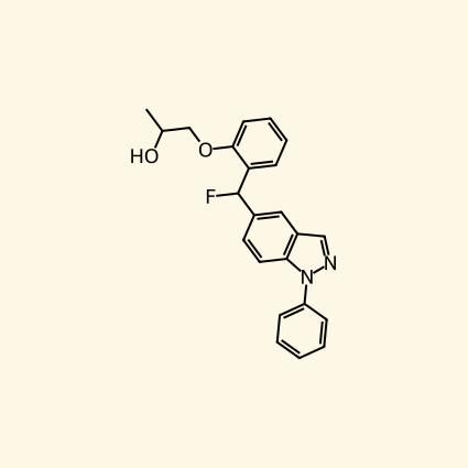 CC(O)COc1ccccc1C(F)c1ccc2c(cnn2-c2ccccc2)c1